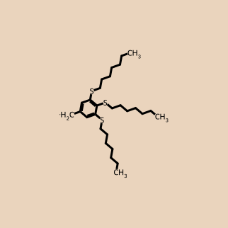 [CH2]c1cc(SCCCCCCC)c(SCCCCCCC)c(SCCCCCCC)c1